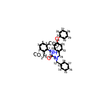 O=C(O)c1cccc(C(=O)O)c1NC(=O)N(Cc1ccccc1)Cc1ccc(Oc2ccccc2)cc1